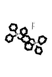 [I-].[I-].c1ccc([P+](Cc2ccc(C[P+](c3ccccc3)(c3ccccc3)c3ccccc3)cc2)(c2ccccc2)c2ccccc2)cc1